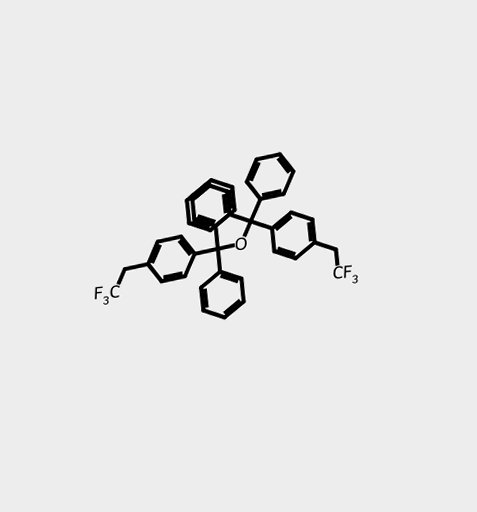 FC(F)(F)Cc1ccc(C(OC(c2ccccc2)(c2ccccc2)c2ccc(CC(F)(F)F)cc2)(c2ccccc2)c2ccccc2)cc1